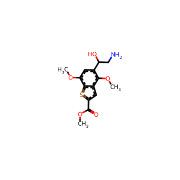 COC(=O)c1cc2c(OC)c(C(O)CN)cc(OC)c2s1